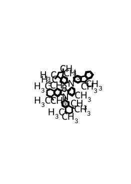 Cc1cc2c3c(c1)N(c1ccc4c(c1)C(C)(C)c1ccccc1-4)c1cc4c(cc1B3c1cc3c(cc1N2c1ccc2c(c1)C(C)(C)CCC2(C)C)C(C)(C)CCC3(C)C)C(C)(C)CC4(C)C